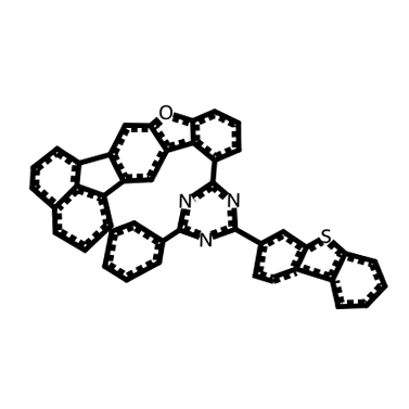 c1ccc(-c2nc(-c3ccc4c(c3)sc3ccccc34)nc(-c3cccc4oc5cc6c(cc5c34)-c3cccc4cccc-6c34)n2)cc1